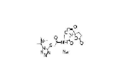 CC(N(C)C)n1nnnc1SCC(=O)N[C@H]1CON(C2(C(=O)[O-])CCC(=O)O2)C1=O.[Na+]